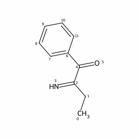 CCC(=N)C(=O)c1ccccc1